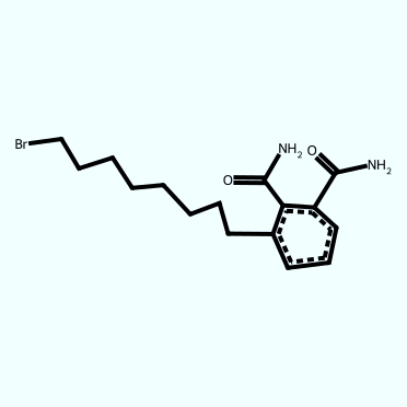 NC(=O)c1cccc(CCCCCCCCBr)c1C(N)=O